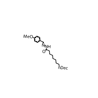 CCCCCCCCCCCCCCCCCC(=O)NN=Cc1ccc(OC)cc1